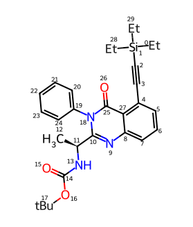 CC[Si](C#Cc1cccc2nc([C@H](C)NC(=O)OC(C)(C)C)n(-c3ccccc3)c(=O)c12)(CC)CC